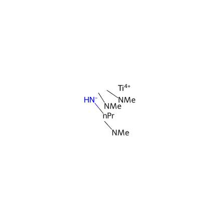 CCC[NH-].C[N-]C.C[N-]C.C[N-]C.[Ti+4]